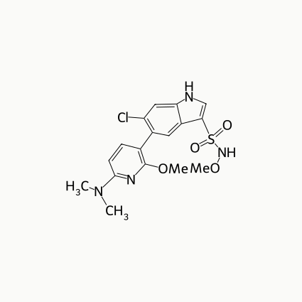 CONS(=O)(=O)c1c[nH]c2cc(Cl)c(-c3ccc(N(C)C)nc3OC)cc12